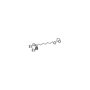 CCO[SiH](CCCCCCCOC1CCO1)OCC